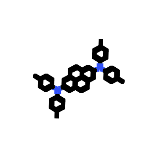 Cc1ccc(N(c2ccc(C)cc2)c2cc3ccc4cc(N(c5ccc(C)cc5)c5ccc(C)cc5)cc5ccc(c2)c3c45)cc1